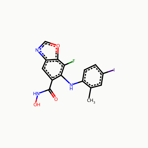 Cc1cc(I)ccc1Nc1c(C(=O)NO)cc2ncoc2c1F